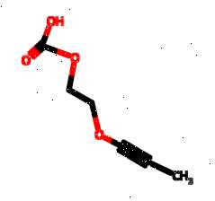 CC#COCCOC(=O)O